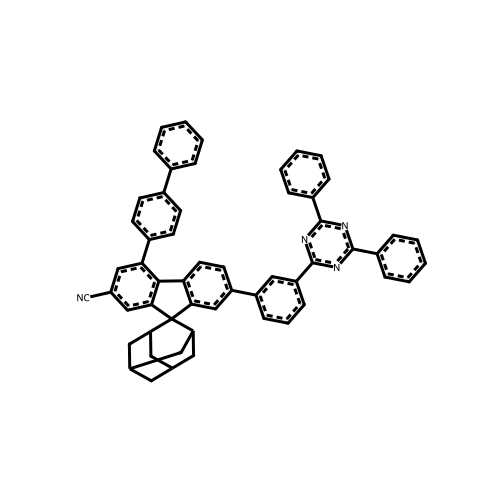 N#Cc1cc(-c2ccc(-c3ccccc3)cc2)c2c(c1)C1(c3cc(-c4cccc(-c5nc(-c6ccccc6)nc(-c6ccccc6)n5)c4)ccc3-2)C2CC3CC(C2)CC1C3